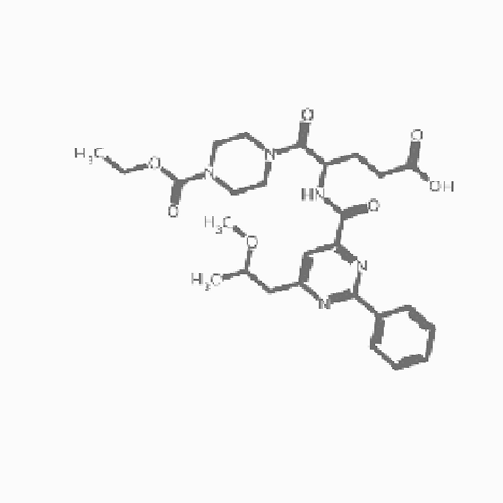 CCOC(=O)N1CCN(C(=O)C(CCC(=O)O)NC(=O)c2cc(CC(C)OC)nc(-c3ccccc3)n2)CC1